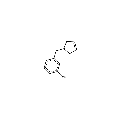 Cc1cccc(CN2CC=CC2)c1